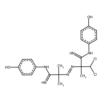 CC(C)(N=NC(C)(C(=N)Nc1ccc(O)cc1)C(Cl)Cl)C(=N)Nc1ccc(O)cc1